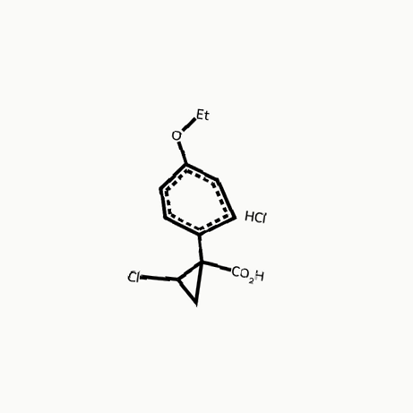 CCOc1ccc(C2(C(=O)O)CC2Cl)cc1.Cl